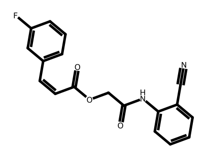 N#Cc1ccccc1NC(=O)COC(=O)/C=C\c1cccc(F)c1